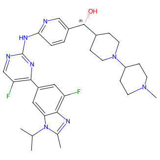 Cc1nc2c(F)cc(-c3nc(Nc4ccc([C@H](O)C5CCN(C6CCN(C)CC6)CC5)cn4)ncc3F)cc2n1C(C)C